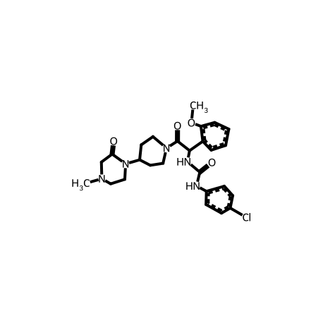 COc1ccccc1C(NC(=O)Nc1ccc(Cl)cc1)C(=O)N1CCC(N2CCN(C)CC2=O)CC1